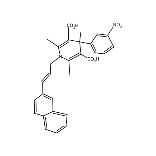 CC1=C(C(=O)O)C(C)(c2cccc([N+](=O)[O-])c2)C(C(=O)O)=C(C)N1CC=Cc1ccc2ccccc2c1